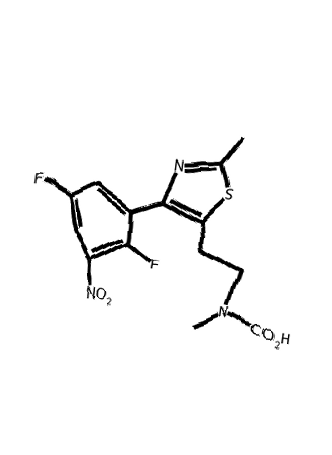 Cc1nc(-c2cc(F)cc([N+](=O)[O-])c2F)c(CCN(C)C(=O)O)s1